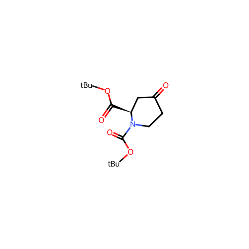 CC(C)(C)OC(=O)[C@H]1CC(=O)CCN1C(=O)OC(C)(C)C